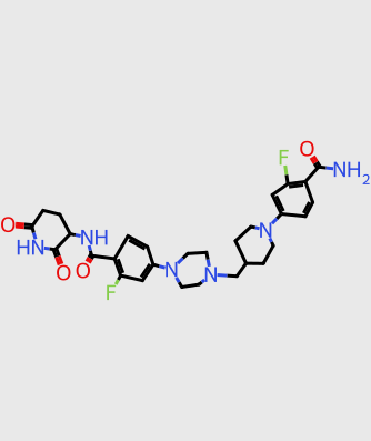 NC(=O)c1ccc(N2CCC(CN3CCN(c4ccc(C(=O)NC5CCC(=O)NC5=O)c(F)c4)CC3)CC2)cc1F